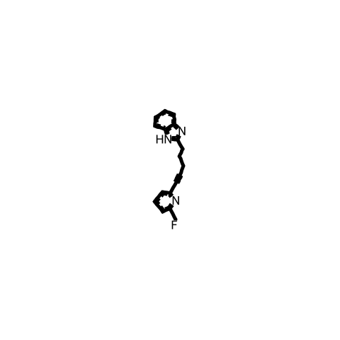 FCc1cccc(C#CCCCc2nc3ccccc3[nH]2)n1